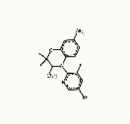 Cc1cc(Br)cnc1N1c2ccc(N)cc2OC(C)(C)C1C=O